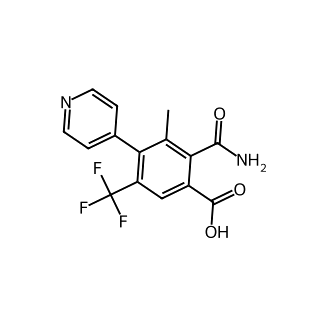 Cc1c(C(N)=O)c(C(=O)O)cc(C(F)(F)F)c1-c1ccncc1